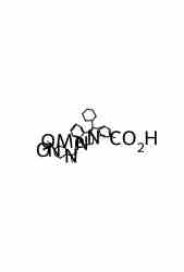 COC(=O)N1CCC(N(C)CCN2CCn3c(c(C4CCCCC4)c4ccc(C(=O)O)cc43)-c3ccccc32)CC1